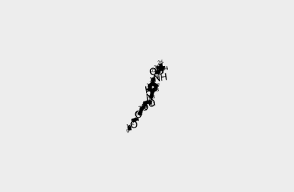 CCOCCOCCOCC(=O)NCc1ccc(CNC(=O)OC(C)(C)C)cc1